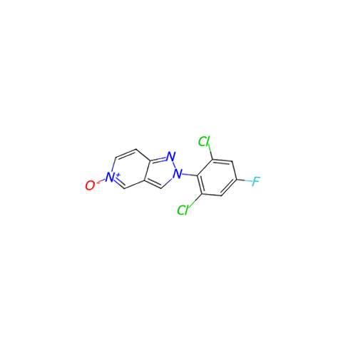 [O-][n+]1ccc2nn(-c3c(Cl)cc(F)cc3Cl)cc2c1